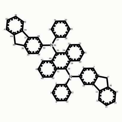 c1ccc(N(c2ccc3c(c2)-c2ccccc2C3)c2c3ccccc3c(N(c3ccccc3)c3ccc4c(c3)-c3ccccc3C4)c3ccccc23)cc1